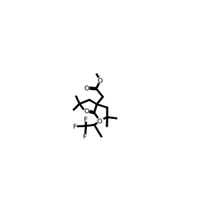 COC(=O)CC(CC(C)(C)C)(CC(C)(C)C)C(=O)OC(C)C(F)(F)F